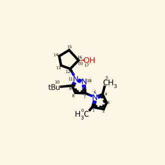 Cc1ccc(C)n1-c1cc(C(C)(C)C)n(C2CCC[C@@H]2O)n1